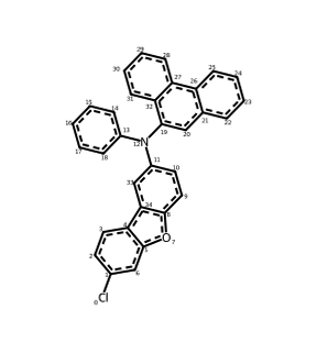 Clc1ccc2c(c1)oc1ccc(N(c3ccccc3)c3cc4ccccc4c4ccccc34)cc12